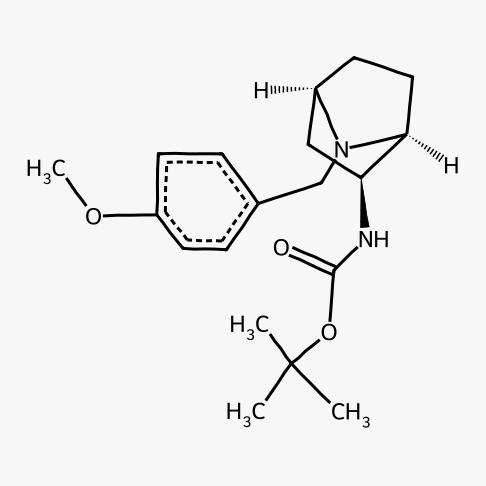 COc1ccc(CN2[C@@H]3CC[C@H]2[C@@H](NC(=O)OC(C)(C)C)C3)cc1